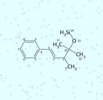 CC(C=Cc1ccccc1)C(C)(C)O[SiH3]